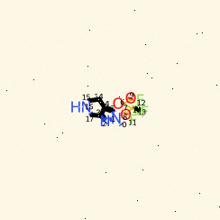 Cn1nc2c(c1OS(=O)(=O)C(F)(F)F)CCNC2